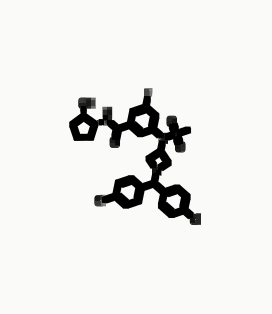 CS(=O)(=O)N(c1cc(F)cc(C(=O)N[C@@H]2CCC[C@H]2O)c1)C1CN(C(c2ccc(Cl)cc2)c2ccc(Cl)cc2)C1